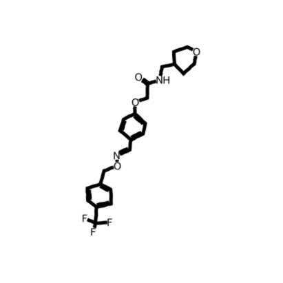 O=C(COc1ccc(C=NOCc2ccc(C(F)(F)F)cc2)cc1)NCC1CCOCC1